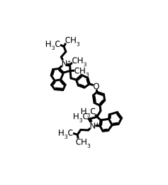 CC1=[N+](CCC(C)C)c2ccc3ccccc3c2C1(C)Cc1ccc(Oc2ccc(CC3(C)C(C)=[N+](CCC(C)C)c4ccc5ccccc5c43)cc2)cc1